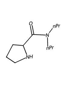 CCCN(CCC)C(=O)C1CCCN1